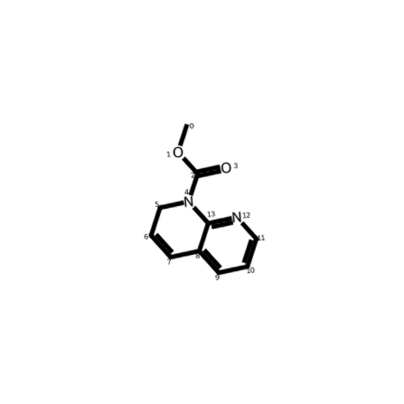 COC(=O)N1CC=Cc2cccnc21